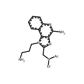 CCN(Cc1nc2c(N)nc3ccccc3c2n1CCCN)C(C)=O